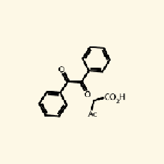 CC(=O)CC(=O)O.O=C(C(=O)c1ccccc1)c1ccccc1